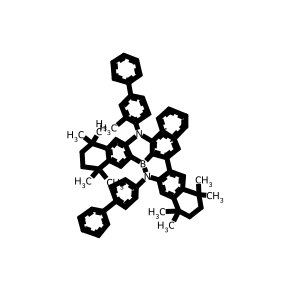 Cc1cc(-c2ccccc2)ccc1N1c2cc3c(cc2B2c4c(cc5ccccc5c41)-c1cc4c(cc1N2c1ccc(-c2ccccc2)cc1)C(C)(C)CCC4(C)C)C(C)(C)CCC3(C)C